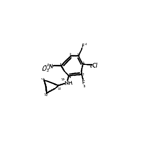 O=[N+]([O-])c1cc(F)c(Cl)c(F)c1NC1CC1